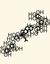 CC(C)=CCC[C@](C)(O[C@@H]1O[C@H](CO[C@@H]2O[C@H](CO)[C@@H](O)[C@H](O[C@@H]3OC[C@@H](O)[C@H](O)[C@H]3O)[C@H]2O)[C@@H](O)[C@H](O)[C@H]1O)[C@H]1CC[C@]2(C)[C@@H]1[C@H](O)C[C@@H]1[C@@]3(C)CC[C@H](O[C@@H]4O[C@H](CO)[C@@H](O)[C@H](O)[C@H]4O[C@@H]4O[C@H](CO)[C@@H](O)[C@H](O)[C@H]4O[C@@H]4OC[C@@H](O)[C@H](O)[C@H]4O)C(C)(C)[C@@H]3CC[C@]12C